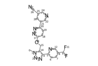 Cn1nnc(-c2ccc(C(F)F)cn2)c1COc1ccc(-c2cncc(C#N)c2)nn1